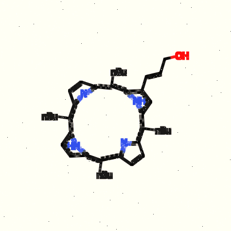 CCCCc1c2nc(c(CCCC)c3cc(C=CCO)c([nH]3)c(CCCC)c3nc(c(CCCC)c4ccc1[nH]4)C=C3)C=C2